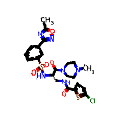 Cc1nc(-c2cccc(S(=O)(=O)N[C@@H](CNC(=O)c3ccc(Cl)s3)C(=O)N3CCN(C)CC3)c2)no1